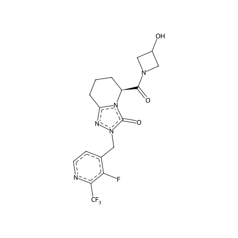 O=C([C@@H]1CCCc2nn(Cc3ccnc(C(F)(F)F)c3F)c(=O)n21)N1CC(O)C1